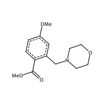 COC(=O)c1ccc(OC)cc1CN1CCOCC1